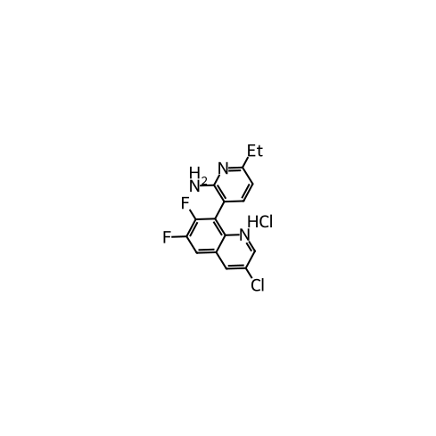 CCc1ccc(-c2c(F)c(F)cc3cc(Cl)cnc23)c(N)n1.Cl